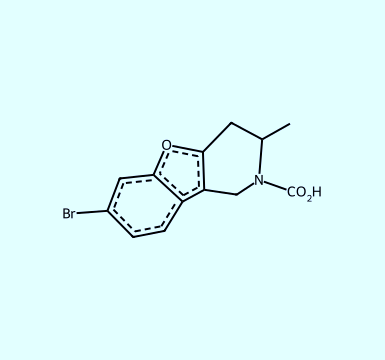 CC1Cc2oc3cc(Br)ccc3c2CN1C(=O)O